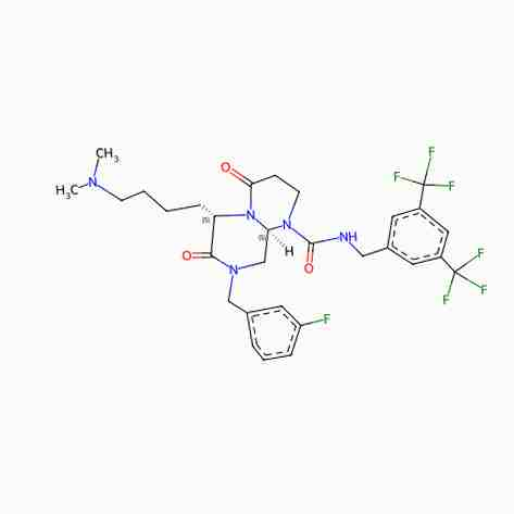 CN(C)CCCC[C@H]1C(=O)N(Cc2cccc(F)c2)C[C@@H]2N(C(=O)NCc3cc(C(F)(F)F)cc(C(F)(F)F)c3)CCC(=O)N21